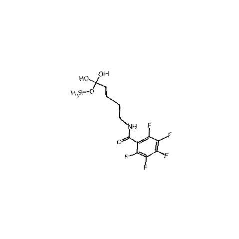 O=C(NCCCCC(O)(O)O[SiH3])c1c(F)c(F)c(F)c(F)c1F